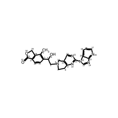 Cc1c(C(O)CN2CCc3nc(-n4cnc5ncccc54)ncc3C2)ccc2c1COC2=O